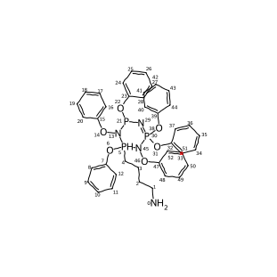 NCCCC[PH]1(Oc2ccccc2)N(Oc2ccccc2)P(Oc2ccccc2)N=P(Oc2ccccc2)(Oc2ccccc2)N1Oc1ccccc1